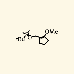 COC1=C(CO[Si](C)(C)C(C)(C)C)CCC1